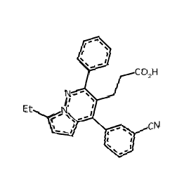 CCc1ccc2c(-c3cccc(C#N)c3)c(CCC(=O)O)c(-c3ccccc3)nn12